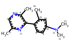 Cc1cnc(C)c(-c2ccc(N(C)C)cc2C)n1